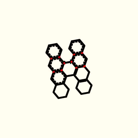 c1ccc(P(C2=C(c3c(P(c4ccccc4)c4ccccc4)ccc4c3CCCC4)C3=C(CCCC3)CC2)c2ccccc2)cc1